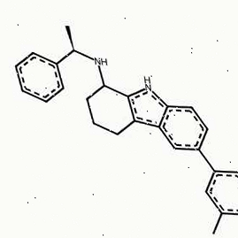 Cc1cc(-c2ccc3[nH]c4c(c3c2)CCCC4N[C@H](C)c2ccccc2)cnn1